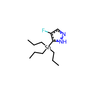 CC[CH2][Sn]([CH2]CC)([CH2]CC)[c]1[nH]ncc1F